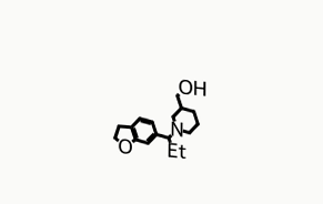 CCC(c1ccc2c(c1)OCC2)N1CCCC(CO)C1